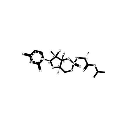 CC(C)OC(=O)[C@@H](C)NP1(=O)OC[C@H]2O[C@@H](n3ccc(=O)[nH]c3=O)[C@](C)(Cl)[C@@H]2O1